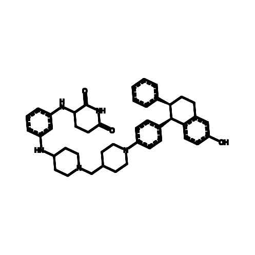 O=C1CCC(Nc2cccc(NC3CCN(CC4CCN(c5ccc([C@@H]6c7ccc(O)cc7CC[C@@H]6c6ccccc6)cc5)CC4)CC3)c2)C(=O)N1